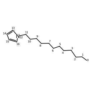 CCCCCCCCCCCCn1[c]ccc1